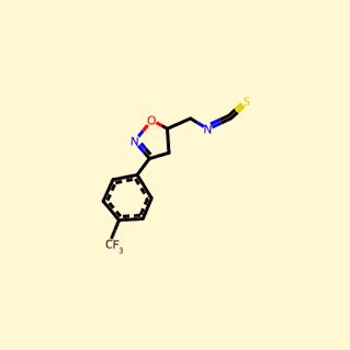 FC(F)(F)c1ccc(C2=NOC(CN=C=S)C2)cc1